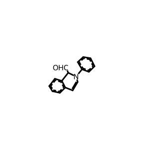 O=CC1c2ccccc2C=CN1c1ccccc1